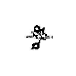 COC(=O)C(C)Nc1ccccc1C(=O)[C@H](CC(=O)O)NC(=O)OCc1ccc(Br)cc1